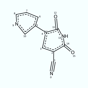 N#Cc1cn(-c2cccnc2)c(=O)[nH]c1=O